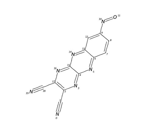 N#Cc1nc2nc3ccc(N=O)cc3nc2nc1C#N